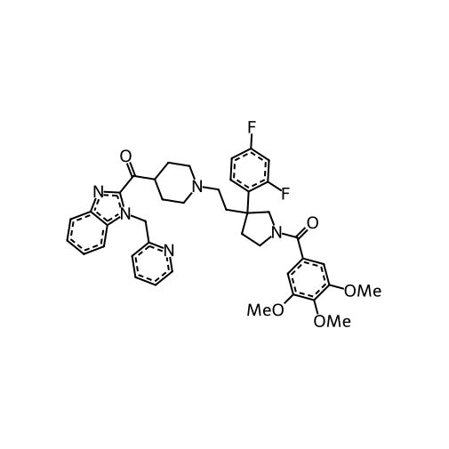 COc1cc(C(=O)N2CCC(CCN3CCC(C(=O)c4nc5ccccc5n4Cc4ccccn4)CC3)(c3ccc(F)cc3F)C2)cc(OC)c1OC